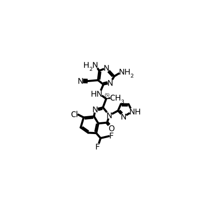 C[C@H](Nc1nc(N)nc(N)c1C#N)c1nc2c(Cl)ccc(C(F)F)c2c(=O)n1-c1cc[nH]n1